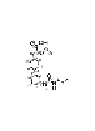 CCCNC(=O)N(C)c1cccc(-c2ccc(CC(OCC)C(=O)O)cc2)c1